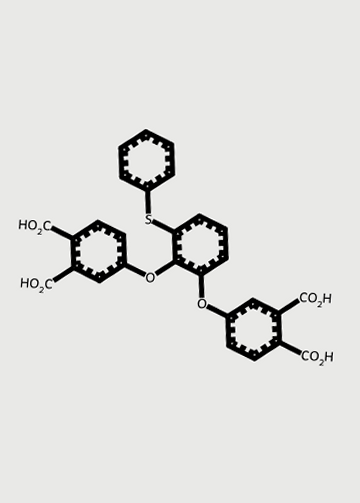 O=C(O)c1ccc(Oc2cccc(Sc3ccccc3)c2Oc2ccc(C(=O)O)c(C(=O)O)c2)cc1C(=O)O